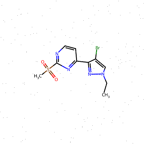 CCn1cc(Br)c(-c2ccnc(S(C)(=O)=O)n2)n1